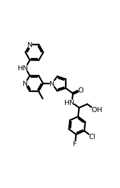 Cc1cnc(Nc2cccnc2)cc1-n1ccc(C(=O)NC(CO)c2ccc(F)c(Cl)c2)c1